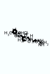 Cc1cccc(S(=O)(=O)NCc2cccn(CC(=O)NCCONC(=N)N)c2=O)c1.Cl